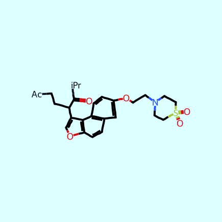 CC(=O)CCC(C(=O)C(C)C)c1coc2ccc3cc(OCCN4CCS(=O)(=O)CC4)ccc3c12